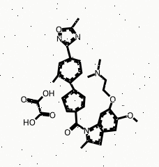 COc1cc2cc(C)n(C(=O)c3ccc(-c4ccc(-c5noc(C)n5)cc4C)cc3)c2cc1OCCN(C)C.O=C(O)C(=O)O